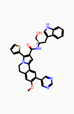 COc1cc2c(cc1-c1cncnc1)-c1cc(C(=O)N[C@@H](CO)Cc3c[nH]c4ccccc34)c(-c3cccs3)n1CC2